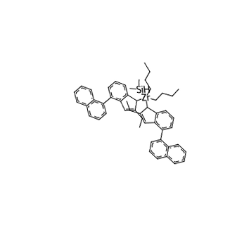 CCC[CH2][Zr]([CH2]CCC)([CH]1C(CC)=Cc2c(-c3cccc4ccccc34)cccc21)([CH]1C(CC)=Cc2c(-c3cccc4ccccc34)cccc21)[SiH](C)C